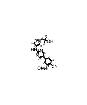 COc1cc(-c2cnc(Nc3cnn(CC(C)(C)O)c3)nc2)ccc1C#N